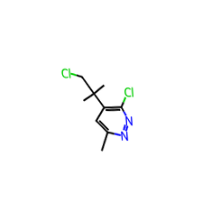 Cc1cc(C(C)(C)CCl)c(Cl)nn1